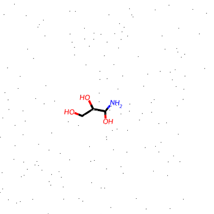 NC(O)C(O)CO